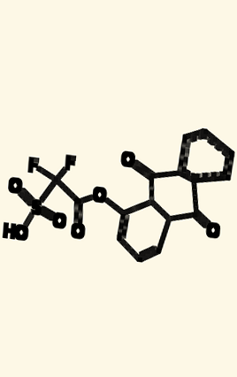 O=C1c2ccccc2C(=O)C2C(OC(=O)C(F)(F)S(=O)(=O)O)=CC=CC12